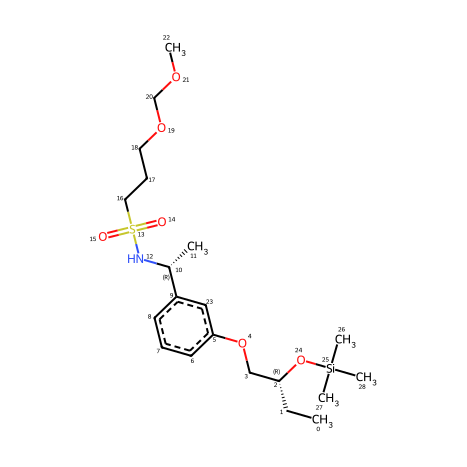 CC[C@H](COc1cccc([C@@H](C)NS(=O)(=O)CCCOCOC)c1)O[Si](C)(C)C